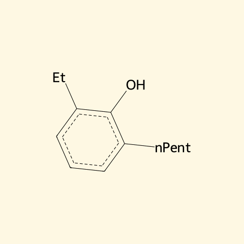 CCCCCc1cccc(CC)c1O